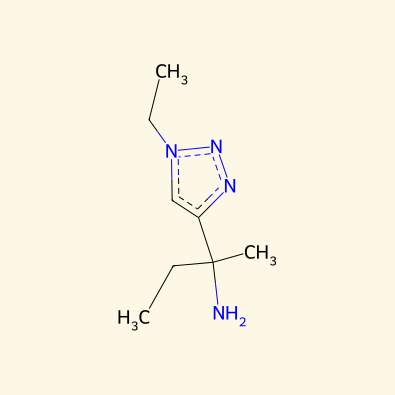 CCn1cc(C(C)(N)CC)nn1